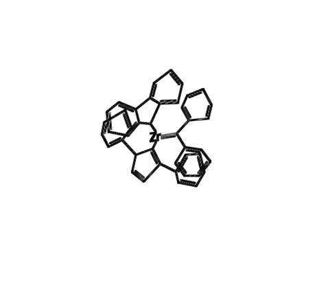 C1=CC(c2ccccc2)[C]([Zr](=[C](c2ccccc2)c2ccccc2)[CH]2c3ccccc3-c3ccccc32)=C1c1ccccc1